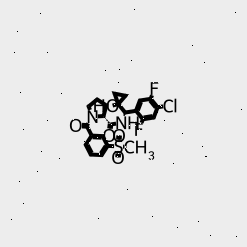 CS(=O)(=O)c1cccc(C(=O)N2CCC[C@@H]2C(=O)N[C@@H](c2cc(F)c(Cl)cc2F)C2(O)CC2)c1